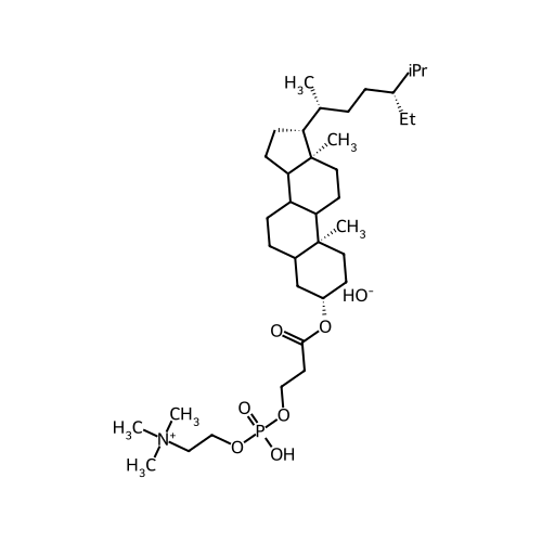 CC[C@H](CC[C@@H](C)[C@H]1CCC2C3CCC4C[C@@H](OC(=O)CCOP(=O)(O)OCC[N+](C)(C)C)CC[C@]4(C)C3CC[C@@]21C)C(C)C.[OH-]